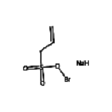 C=CCS(=O)(=O)OBr.[NaH]